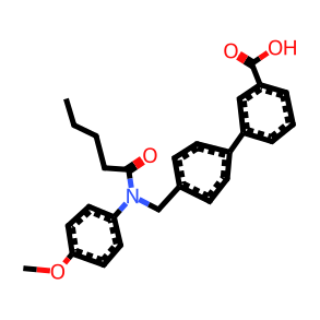 CCCCC(=O)N(Cc1ccc(-c2cccc(C(=O)O)c2)cc1)c1ccc(OC)cc1